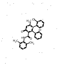 Cc1cccc(C)c1NC(=O)c1c(-c2ccccc2Cl)n(-c2ccccc2Cl)c(C)cc1=O